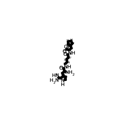 N=C(N)C1NCC=C1CC(N)C(=O)NCCCCC(=O)NC(CC1=CCCC1)C(=O)O